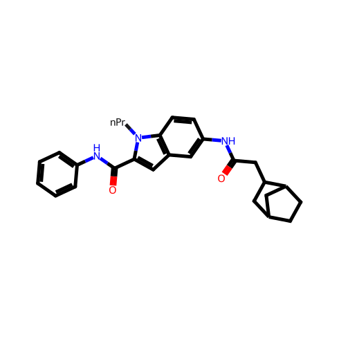 CCCn1c(C(=O)Nc2ccccc2)cc2cc(NC(=O)CC3CC4CCC3C4)ccc21